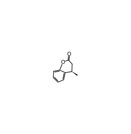 C[C@@H]1CC(=O)Oc2ccccc21